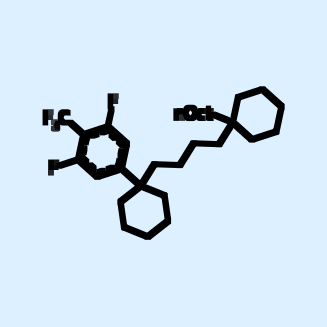 CCCCCCCCC1(CCCCC2(c3cc(F)c(C(F)(F)F)c(F)c3)CCCCC2)CCCCC1